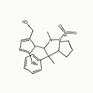 CCCCc1ncc(CO)n1C(N(C)O[SH](=O)=O)C(C)(c1ccccc1)C1CCCC1